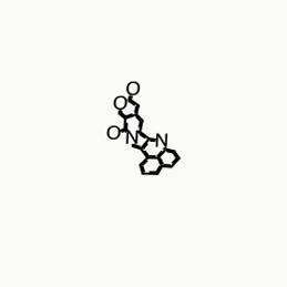 O=c1cc2cc3c4nc5cccc6cccc(c4cn3c(=O)c2co1)c65